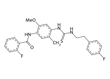 COc1cc(NC(=S)NCCc2ccc(F)cc2)c(C)cc1NC(=O)c1ccccc1F